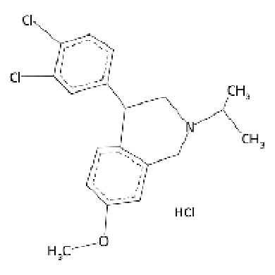 COc1ccc2c(c1)CN(C(C)C)CC2c1ccc(Cl)c(Cl)c1.Cl